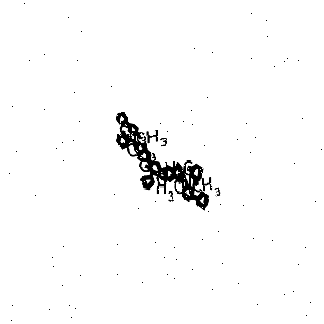 Cc1ccc(-c2ccccc2)cc1N(c1ccc2cc3c(cc2c1)oc1c(-c2ccccc2)c2oc4cc5cc(N(c6cc(-c7ccccc7)ccc6C)c6c(C)cccc6C)ccc5cc4c2cc13)c1c(C)cccc1C